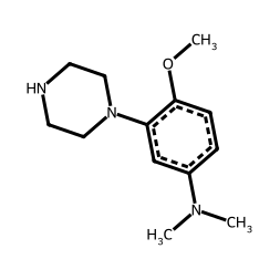 COc1ccc(N(C)C)cc1N1CCNCC1